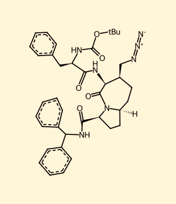 CC(C)(C)OC(=O)N[C@H](Cc1ccccc1)C(=O)N[C@@H]1C(=O)N2[C@@H](CC[C@@H]1CN=[N+]=[N-])CC[C@H]2C(=O)NC(c1ccccc1)c1ccccc1